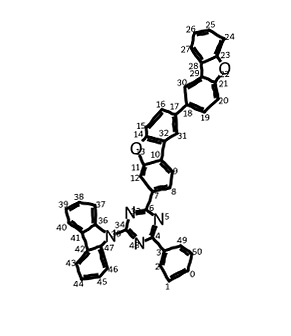 c1ccc(-c2nc(-c3ccc4c(c3)oc3ccc(-c5ccc6oc7ccccc7c6c5)cc34)nc(-n3c4ccccc4c4ccccc43)n2)cc1